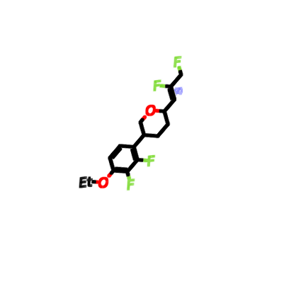 CCOc1ccc(C2CCC(/C=C(\F)CF)OC2)c(F)c1F